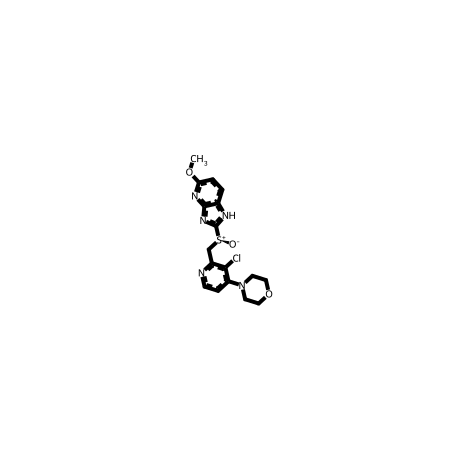 COc1ccc2[nH]c([S@@+]([O-])Cc3nccc(N4CCOCC4)c3Cl)nc2n1